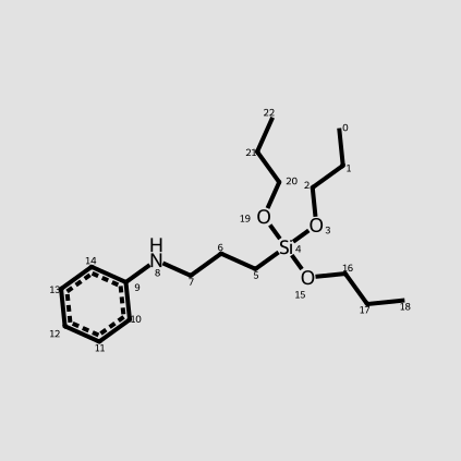 CCCO[Si](CCCNc1ccccc1)(OCCC)OCCC